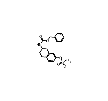 O=C(NC1CCc2ccc(OS(=O)(=O)C(F)(F)F)cc2C1)OCc1ccccc1